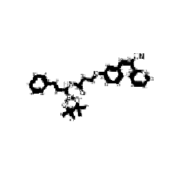 CC1(C)OB(C(CCc2ccccc2)NC(=O)CCOc2cccc(C=C(C#N)c3ccccn3)c2)OC1(C)C